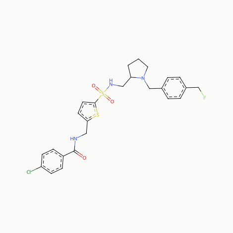 O=C(NCc1ccc(S(=O)(=O)NCC2CCCN2Cc2ccc(CF)cc2)s1)c1ccc(Cl)cc1